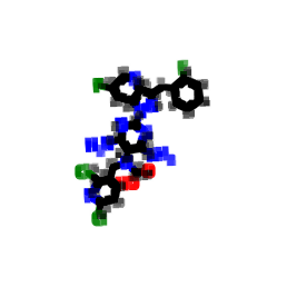 Nc1nc(-n2nc(Cc3ccccc3F)c3ncc(F)cc32)nc(N)c1N(Cc1ccc(Cl)nc1Cl)C(=O)O